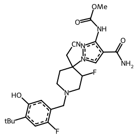 COC(=O)Nc1nn(C2(CC#N)CCN(Cc3cc(O)c(C(C)(C)C)cc3F)CC2F)cc1C(N)=O